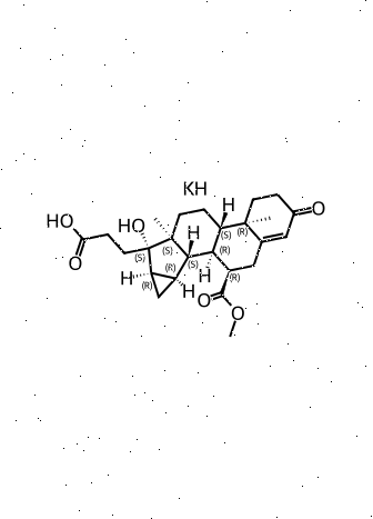 COC(=O)[C@@H]1CC2=CC(=O)CC[C@]2(C)[C@H]2CC[C@@]3(C)[C@@H]([C@H]4C[C@H]4[C@@]3(O)CCC(=O)O)[C@H]12.[KH]